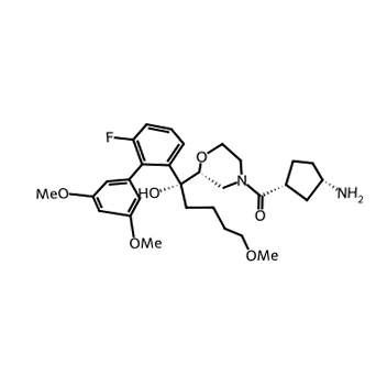 COCCCC[C@@](O)(c1cccc(F)c1-c1cc(OC)cc(OC)c1)[C@H]1CN(C(=O)[C@@H]2CC[C@H](N)C2)CCO1